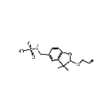 C=CCOC1Oc2ccc(CNS(=O)(=O)O)cc2C1(C)C